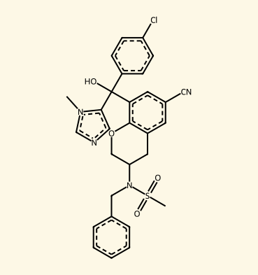 Cn1cncc1C(O)(c1ccc(Cl)cc1)c1cc(C#N)cc2c1OCC(N(Cc1ccccc1)S(C)(=O)=O)C2